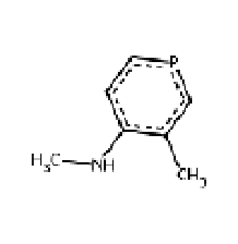 CNc1ccpcc1C